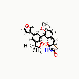 CC1(C)COc2c(-c3cc(C=C4SC(=O)NC4=O)ccc3OC(F)(F)F)cc(-c3ccoc3)cc21